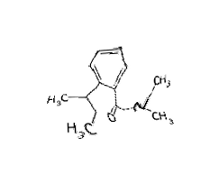 CCC(C)c1ccccc1C(=O)N(C)C